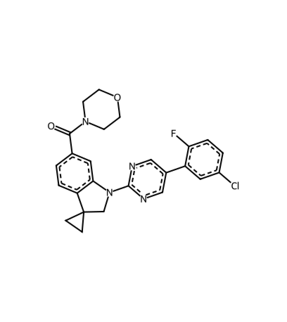 O=C(c1ccc2c(c1)N(c1ncc(-c3cc(Cl)ccc3F)cn1)CC21CC1)N1CCOCC1